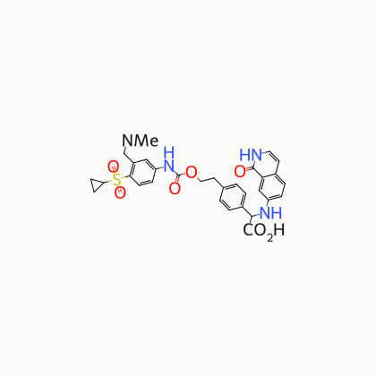 CNCc1cc(NC(=O)OCCc2ccc(C(Nc3ccc4cc[nH]c(=O)c4c3)C(=O)O)cc2)ccc1S(=O)(=O)C1CC1